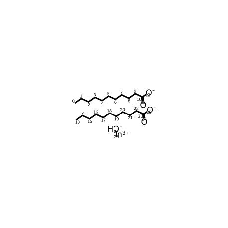 CCCCCCCCCCC(=O)[O-].CCCCCCCCCCC(=O)[O-].[In+3].[OH-]